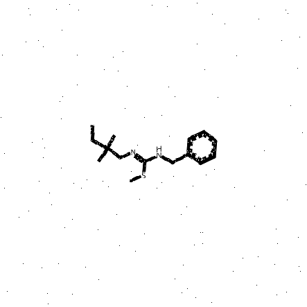 CCC(C)(C)C/N=C(/NCc1ccccc1)SC